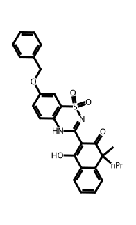 CCCC1(C)C(=O)C(C2=NS(=O)(=O)c3cc(OCc4ccccc4)ccc3N2)=C(O)c2ccccc21